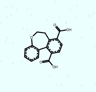 O=C(O)c1ccc(C(=O)O)c2c1CCOc1ccccc1-2